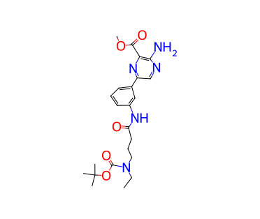 CCN(CCCC(=O)Nc1cccc(-c2cnc(N)c(C(=O)OC)n2)c1)C(=O)OC(C)(C)C